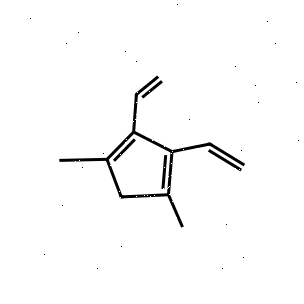 C=CC1=C(C)CC(C)=C1C=C